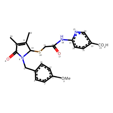 COc1ccc(CN2C(=O)C(C)=C(C)C2SCC(=O)Nc2ccc(C(=O)O)cn2)cc1